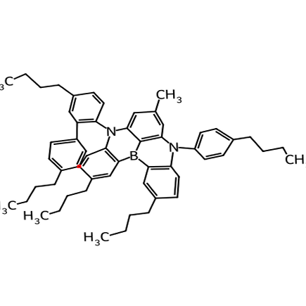 CCCCc1ccc(-c2cc(CCCC)ccc2N2c3ccc(CCCC)cc3B3c4cc(CCCC)ccc4N(c4ccc(CCCC)cc4)c4cc(C)cc2c43)cc1